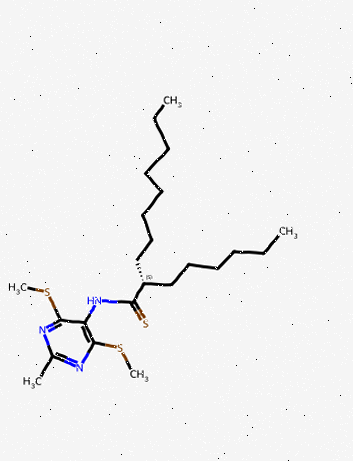 CCCCCCCC[C@H](CCCCCC)C(=S)Nc1c(SC)nc(C)nc1SC